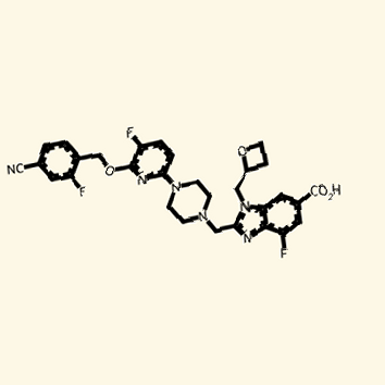 N#Cc1ccc(COc2nc(N3CCN(Cc4nc5c(F)cc(C(=O)O)cc5n4C[C@@H]4CCO4)CC3)ccc2F)c(F)c1